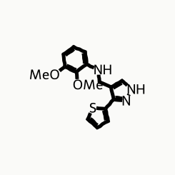 COc1cccc(NCc2c[nH]nc2-c2cccs2)c1OC